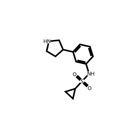 O=S(=O)(Nc1cccc(C2CCNC2)c1)C1CC1